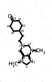 CN1CN=C2C1=CN(CCC1CCC(=O)CC1)CN2C